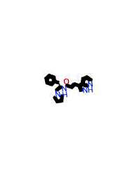 O=C(/C=C/c1c[nH]c2ncccc12)N[C@@H](Cc1ccccc1)CN1CCCC1